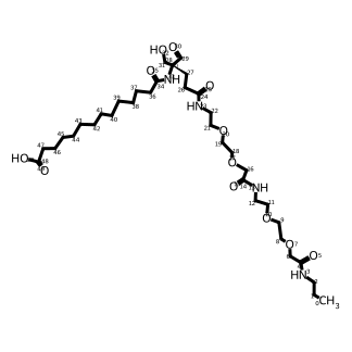 CCCNC(=O)COCCOCCNC(=O)COCCOCCNC(=O)CC[C@](C=O)(CO)NC(=O)CCCCCCCCCCCCC(=O)O